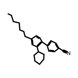 CCCCCCCc1ccc(-c2ccc(C#N)cc2)c(C2CCCCC2)c1